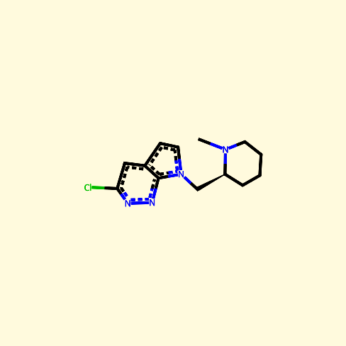 CN1CCCC[C@H]1Cn1ccc2cc(Cl)nnc21